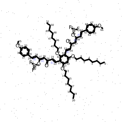 CCCCCCCCOc1cc(OCCCCCCCC)c(/C=C/C(=O)/C=C(/C=C/c2ccc(OC)cc2)OB(F)F)c(OCCCCCCCC)c1/C=C/C(=O)/C=C(/C=C/c1ccc(OC)cc1)OB(F)F